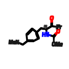 CNCc1ccc(C[C@H](NC(=O)OC)C(=O)C(C)C)cc1